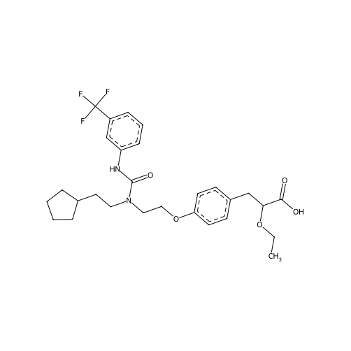 CCOC(Cc1ccc(OCCN(CCC2CCCC2)C(=O)Nc2cccc(C(F)(F)F)c2)cc1)C(=O)O